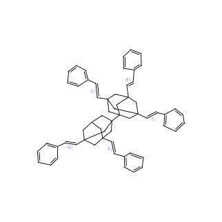 C(=C\C12CC3CC(/C=C/c4ccccc4)(C1)CC(C14CC5(/C=C/c6ccccc6)CC(/C=C/c6ccccc6)(CC(/C=C/c6ccccc6)(C5)C1)C4)(C3)C2)/c1ccccc1